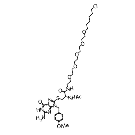 COc1ccc(Cn2c(SC[C@H](NC(C)=O)C(=O)NCCOCCOCCOCCOCCOCCCCCCCl)nc3c(=O)[nH]c(N)nc32)cc1